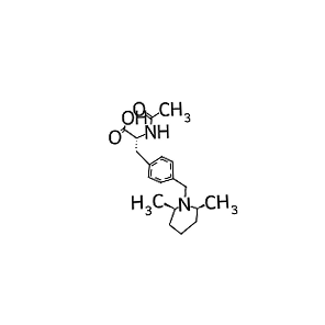 CC(=O)N[C@H](Cc1ccc(CN2[C@H](C)CCC[C@@H]2C)cc1)C(=O)O